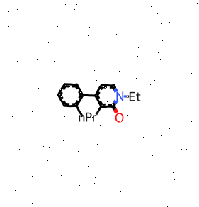 CCCc1c(-c2ccccc2C)ccn(CC)c1=O